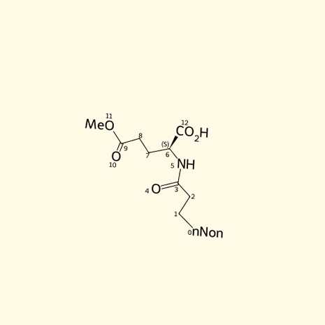 CCCCCCCCCCCC(=O)N[C@@H](CCC(=O)OC)C(=O)O